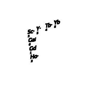 [Ga].[Gd].[Ho].[Sc].[Tb].[Y].[Yb]